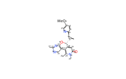 COc1ccc([C@H]2C[C@@H]2COc2nc(C)ncc2-c2ccc(=O)n(C)c2C)nc1